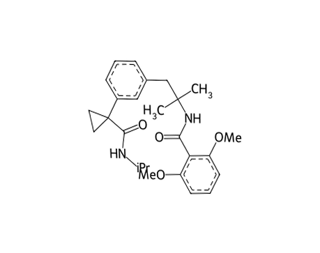 COc1cccc(OC)c1C(=O)NC(C)(C)Cc1cccc(C2(C(=O)NC(C)C)CC2)c1